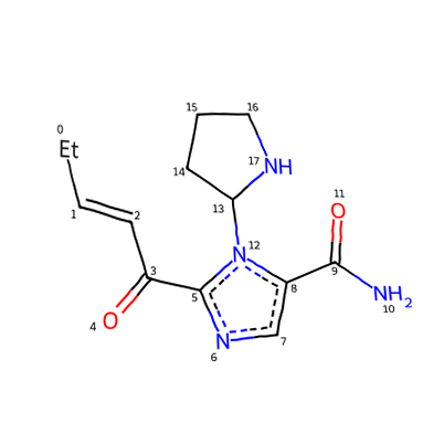 CCC=CC(=O)c1ncc(C(N)=O)n1C1CCCN1